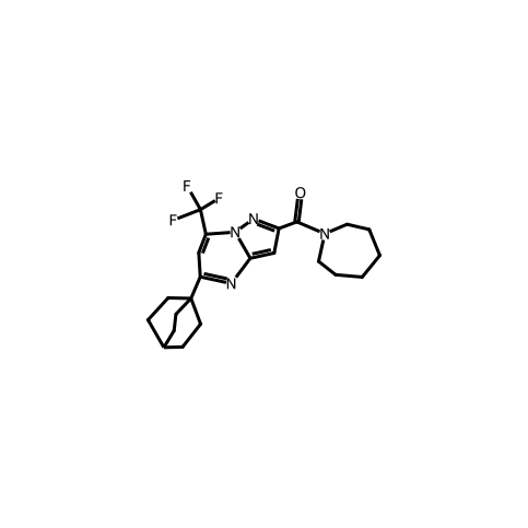 O=C(c1cc2nc(C34CCC(CC3)CC4)cc(C(F)(F)F)n2n1)N1CCCCCC1